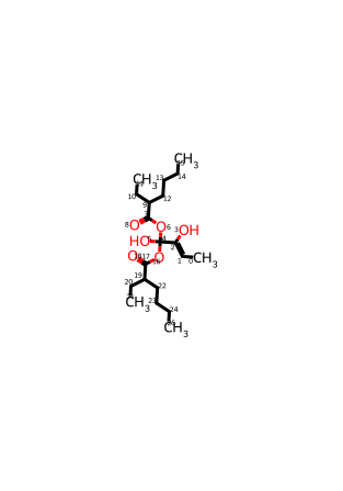 CC=C(O)C(O)(OC(=O)C(CC)CCCC)OC(=O)C(CC)CCCC